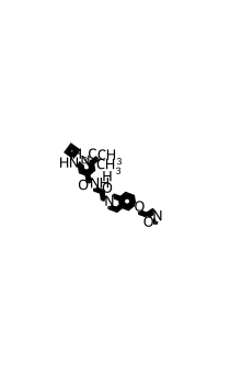 CC(C)(C)c1cc(C(=O)NC[C@H](O)CN2CCc3cc(OCc4cnco4)ccc3C2)cc(NC2CCC2)n1